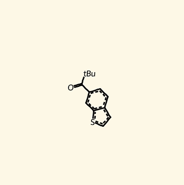 CC(C)(C)C(=O)c1ccc2ccsc2c1